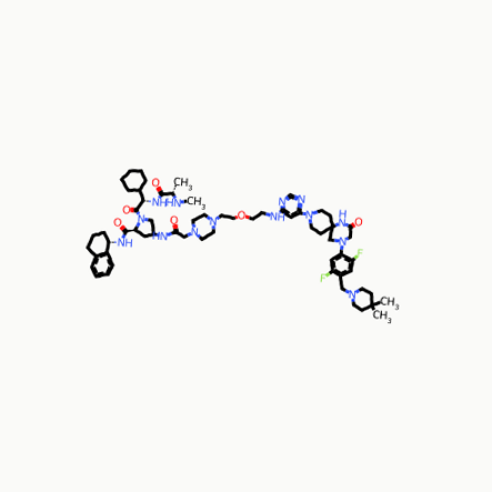 CN[C@@H](C)C(=O)N[C@H](C(=O)N1CC(NC(=O)CN2CCN(CCOCCNc3cc(N4CCC5(CC4)CN(c4cc(F)c(CN6CCC(C)(C)CC6)cc4F)CC(=O)N5)ncn3)CC2)C[C@H]1C(=O)N[C@H]1CCCc2ccccc21)C1CCCCC1